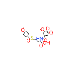 COc1ccc(C(=O)SCCCC(NC(=O)c2cc(OC)c(OC)c(OC)c2)C(=O)O)cc1